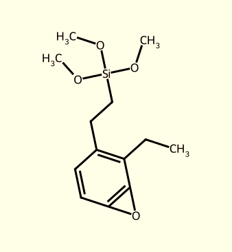 CCc1c(CC[Si](OC)(OC)OC)ccc2c1O2